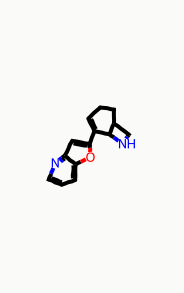 C1=C(c2cc3ncccc3o2)C2NCC2CC1